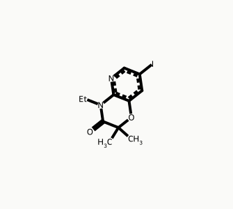 CCN1C(=O)C(C)(C)Oc2cc(I)cnc21